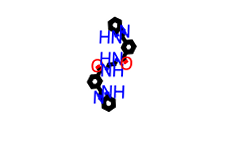 O=C(NCCNC(=O)c1cccc(-c2nc3ccccc3[nH]2)c1)c1cccc(-c2nc3ccccc3[nH]2)c1